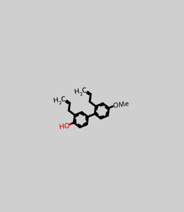 C=CCc1cc(-c2ccc(OC)cc2CC=C)ccc1O